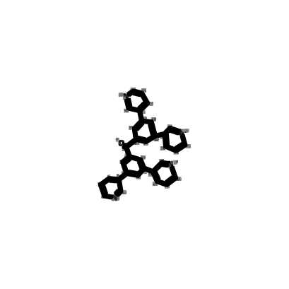 O=C(c1cc(-c2cccnc2)cc(-c2cccnc2)c1)c1cc(-c2cccnc2)cc(-c2cccnc2)c1